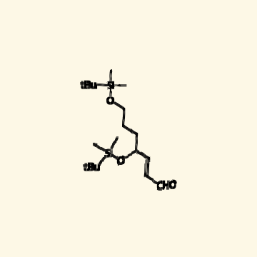 CC(C)(C)[Si](C)(C)OCCCC(/C=C/C=O)O[Si](C)(C)C(C)(C)C